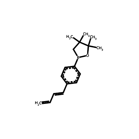 C=C/C=C/c1ccc(B2CC(C)(C)C(C)(C)O2)cc1